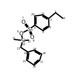 CCc1ccc(S(=O)(=O)O[Si](C)(C)Cc2ccccc2)cc1